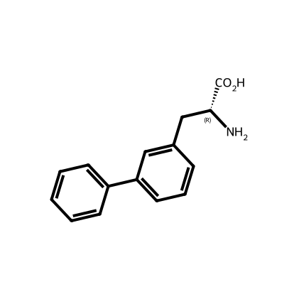 N[C@H](Cc1cccc(-c2ccccc2)c1)C(=O)O